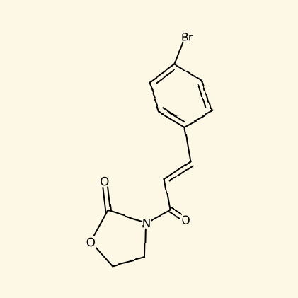 O=C(C=Cc1ccc(Br)cc1)N1CCOC1=O